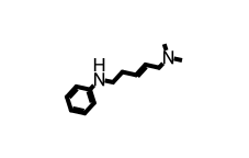 CN(C)CC=CCCNc1ccccc1